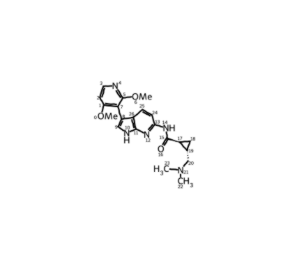 COc1ccnc(OC)c1-c1c[nH]c2nc(NC(=O)[C@H]3C[C@@H]3CN(C)C)ccc12